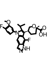 COc1cc(-n2c(C(C)C)c([C@@H]3CC[C@@](C)(C(=O)O)OC3)c3c(F)c4[nH]ncc4cc32)ccc1F